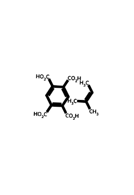 CC=C(C)C.O=C(O)c1cc(C(=O)O)c(C(=O)O)cc1C(=O)O